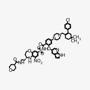 CC1(C)CCC(CN2CCN(c3ccc(C(=O)NS(=O)(=O)c4cc5c(c([N+](=O)[O-])c4)N[C@@H](CCNC(=O)C4CCOCC4)CCO5)c(Oc4cnc5[nH]ccc5c4)c3)CC2)=C(c2ccc(Cl)cc2)C1